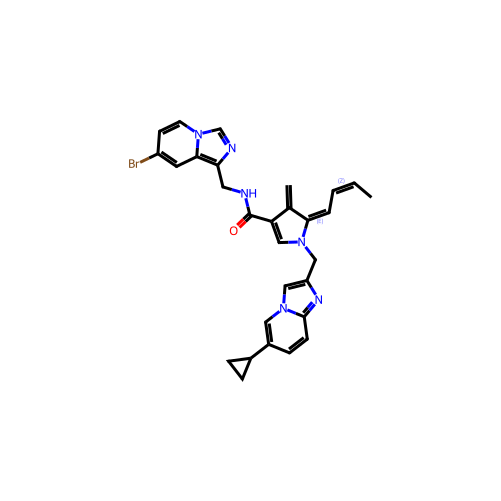 C=c1c(C(=O)NCc2ncn3ccc(Br)cc23)cn(Cc2cn3cc(C4CC4)ccc3n2)/c1=C/C=C\C